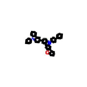 c1ccc(-c2ccc(-n3c4ccc(-c5ccc6c(c5)c5ccccc5n6-c5ccccc5)cc4c4cc5oc6ccccc6c5cc43)cc2)cc1